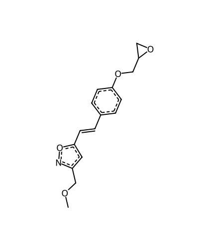 COCc1cc(C=Cc2ccc(OCC3CO3)cc2)on1